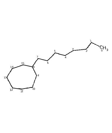 CCCCCCCCC1CCCCCCC1